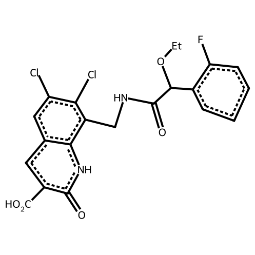 CCOC(C(=O)NCc1c(Cl)c(Cl)cc2cc(C(=O)O)c(=O)[nH]c12)c1ccccc1F